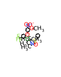 CCN(C(=O)SCc1ccccc1)C(C)C(C)C.CCOc1cc(Oc2ccc(C(F)(F)F)cc2Cl)ccc1[N+](=O)[O-]